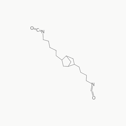 O=C=NCCCCCC1CC2CC1CC2CCCCN=C=O